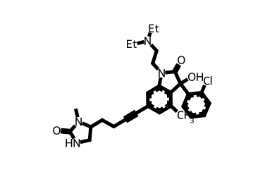 CCN(CC)CCN1C(=O)C(O)(c2ccccc2Cl)c2c1cc(C#CCCC1CNC(=O)N1C)cc2C(F)(F)F